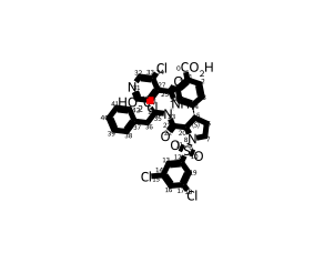 O=C(O)c1ccc([C@@H]2CCN(S(=O)(=O)c3cc(Cl)cc(Cl)c3)C2C(=O)N(NC(=O)c2c(Cl)cncc2Cl)[C@@H](Cc2ccccc2)C(=O)O)cc1